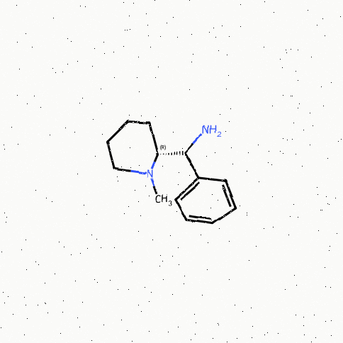 CN1CCCC[C@@H]1C(N)c1ccccc1